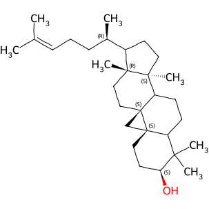 CC(C)=CCC[C@@H](C)C1CC[C@@]2(C)C3CCC4C(C)(C)[C@@H](O)CC[C@]45C[C@@]35CC[C@]12C